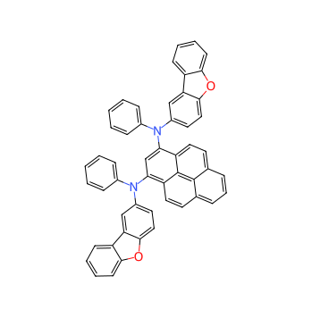 c1ccc(N(c2ccc3oc4ccccc4c3c2)c2cc(N(c3ccccc3)c3ccc4oc5ccccc5c4c3)c3ccc4cccc5ccc2c3c54)cc1